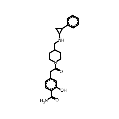 NC(=O)c1ccc(CC(=O)N2CCC(CNC3CC3c3ccccc3)CC2)cc1O